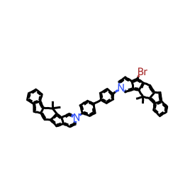 CC1(C)C2=c3ccccc3=CC2=Cc2cc3ccn(-c4ccc(-c5ccc(-n6ccc7c(Br)c8c(c-7c6)C(C)(C)C6=c7ccccc7=CC6=C8)cc5)cc4)cc-3c21